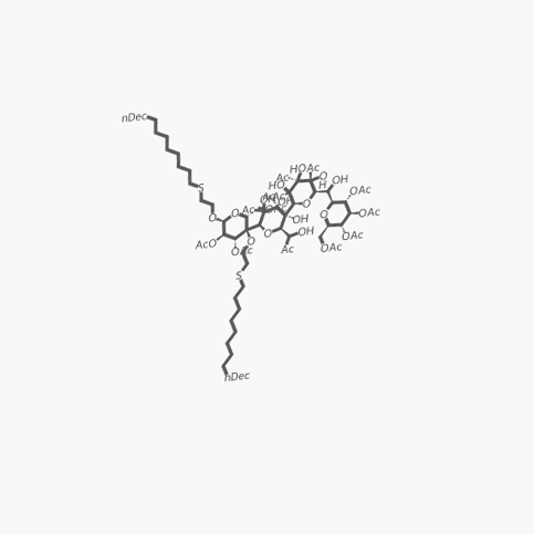 CCCCCCCCCCCCCCCCCCSCCO[C@H]1O[C@H](COC(C)=O)[C@](OCCSCCCCCCCCCCCCCCCCCC)([C@@H]2O[C@H](C(O)C(C)=O)[C@](O)([C@@H]3O[C@H](C(O)[C@@H]4O[C@H](COC(C)=O)[C@@H](OC(C)=O)[C@H](OC(C)=O)[C@H]4OC(C)=O)[C@](O)(C(C)=O)[C@@](O)(C(C)=O)[C@]3(O)C(C)=O)[C@@](O)(C(C)=O)[C@]2(O)C(C)=O)[C@H](OC(C)=O)[C@H]1OC(C)=O